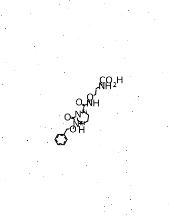 O=C(O)NCCONC(=O)[C@H]1CC[C@@H]2CN1C(=O)N2OCc1ccccc1